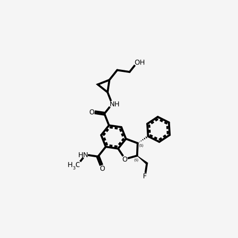 CNC(=O)c1cc(C(=O)NC2CC2CCO)cc2c1O[C@H](CF)[C@H]2c1ccccc1